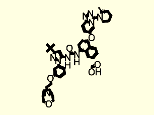 C[C@H]1CCCCN1c1nnc2ccc(O[C@@H]3CC[C@H](NC(=O)Nc4cc(C(C)(C)C)nn4-c4cccc(OCCN5C6CCC5COC6)c4)c4ccccc43)cn12.O=CO